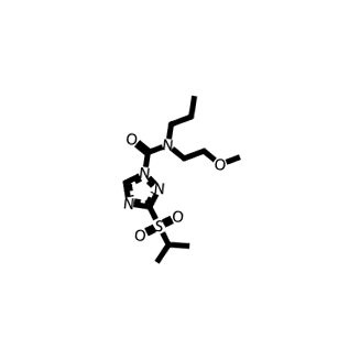 CCCN(CCOC)C(=O)n1cnc(S(=O)(=O)C(C)C)n1